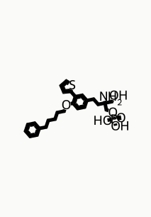 NC(CO)(CCc1ccc(OCCCCCc2ccccc2)c(-c2cccs2)c1)COP(=O)(O)O